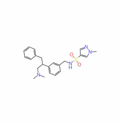 CN(C)CC(Cc1ccccc1)c1cccc(CNS(=O)(=O)c2cnn(C)c2)c1